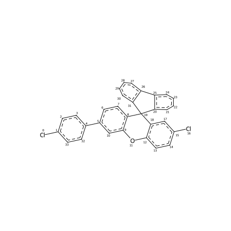 Clc1ccc(-c2ccc3c(c2)Oc2ccc(Cl)cc2C32c3ccccc3-c3ccccc32)cc1